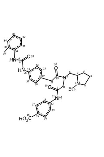 CCN1CCCC1CN(CC(=O)Nc1ccc(C(=O)O)cc1)C(=O)Cc1ccc(NC(=O)Nc2ccccc2C)cc1